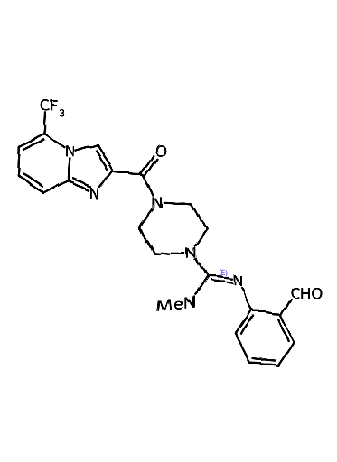 CN/C(=N\c1ccccc1C=O)N1CCN(C(=O)c2cn3c(C(F)(F)F)cccc3n2)CC1